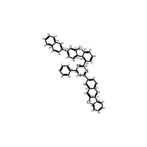 c1ccc(-c2nc(-c3ccc4cc5c(cc4c3)oc3ccccc35)nc(-c3cccc4oc5cc(-c6ccc7ccccc7c6)ccc5c34)n2)cc1